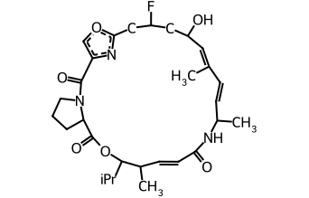 CC1=C\C(O)CC(F)Cc2nc(co2)C(=O)N2CCCC2C(=O)OC(C(C)C)C(C)/C=C/C(=O)NC(C)\C=C\1